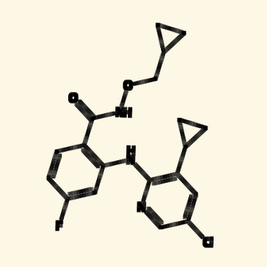 O=C(NOCC1CC1)c1ccc(F)cc1Nc1ncc(Cl)cc1C1CC1